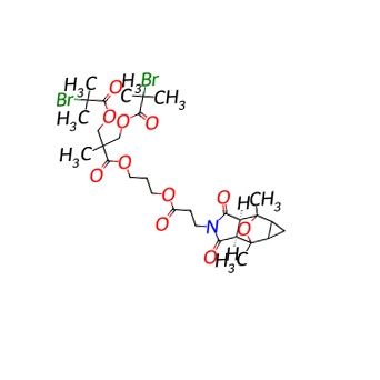 CC(C)(Br)C(=O)OCC(C)(COC(=O)C(C)(C)Br)C(=O)OCCCOC(=O)CCN1C(=O)[C@@H]2[C@H](C1=O)C1(C)OC2(C)C2CC21